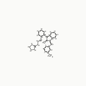 O=C1C(=Nc2cccc(C(F)(F)F)c2)c2ccccc2N1c1ccccc1OCCN1CCCC1